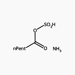 CCCCCC(=O)OS(=O)(=O)O.N